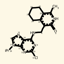 Cc1[nH]c(=O)c(CNc2nc(Cl)nc3c2ncn3C(C)C)c2c1CCCC2